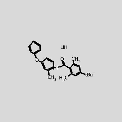 Cc1cc(Oc2ccccc2)ccc1PC(=O)c1c(C)cc(C(C)(C)C)cc1C.[LiH]